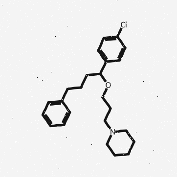 Clc1ccc(C(CCCc2ccccc2)OCCCN2CCCCC2)cc1